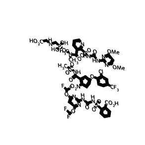 COc1cc(OC)nc(NC(=O)NS(=O)(=O)c2ncccc2C(=O)N(C)C)n1.CS(=O)(=O)NC(=O)c1cc(Oc2ccc(C(F)(F)F)cc2Cl)ccc1[N+](=O)[O-].O=C(Nc1nc(OC(F)F)cc(OC(F)F)n1)NS(=O)(=O)c1ccccc1C(=O)O.O=C(O)CNCP(=O)(O)O